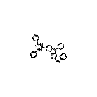 c1ccc(-c2nc(-c3ccccc3)nc(-c3ccc4c(c3)c3sc5ccc6ccccc6c5c3n4-c3ccccc3)n2)cc1